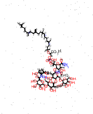 C=C(C/C=C(\C)CCC=C(C)C)CCC(C)(C)/C=C/CC/C(C)=C\CC(C)(C)O[C@H](COP(=O)(O)OC(C)(C)C1OC(C(N)=O)C(C)(O)C(NOC=O)C1OC1OC(COC2OC(CO)C(O)C(O)C2O)C(OC2OC(C)C(OC3OC(C(=O)NC4=C(O)CCC4=O)C(O)C(O)C3O)C(O)C2NC(C)=O)C(O)C1NC(C)=O)C(=O)O